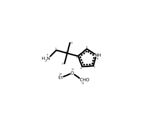 CC(C)(CN)c1cc[nH]c1.CCOC=O